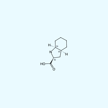 O=C(O)[C@@H]1C[C@@H]2CCCC[C@@H]2[N]1